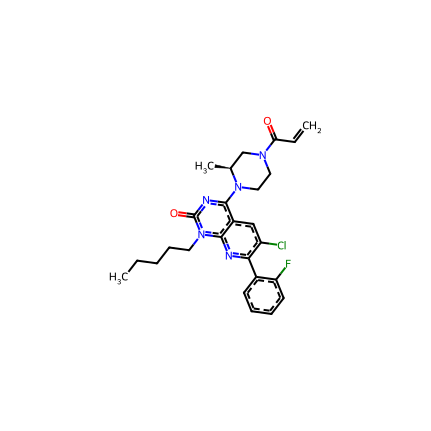 C=CC(=O)N1CCN(c2nc(=O)n(CCCCC)c3nc(-c4ccccc4F)c(Cl)cc23)[C@@H](C)C1